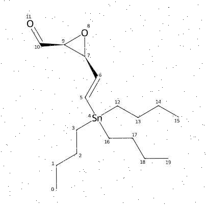 CCC[CH2][Sn](/[CH]=C/[C@@H]1O[C@@H]1C=O)([CH2]CCC)[CH2]CCC